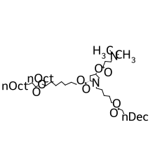 CCCCCCCCCCCC(=O)OCCCCCN1CC(OC(=O)CCN(C)C)C[C@H]1C(=O)OCCCCCCCOC(=O)C(CCCCCCCC)CCCCCCCC